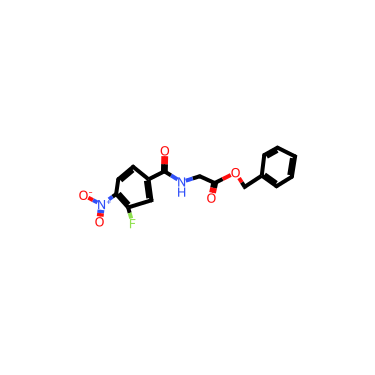 O=C(CNC(=O)c1ccc([N+](=O)[O-])c(F)c1)OCc1ccccc1